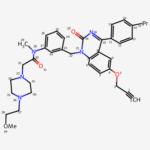 C#CCOc1ccc2c(c1)c(-c1ccc(C(C)C)cc1)nc(=O)n2Cc1cccc(N(C)C(=O)CN2CCN(CCOC)CC2)c1